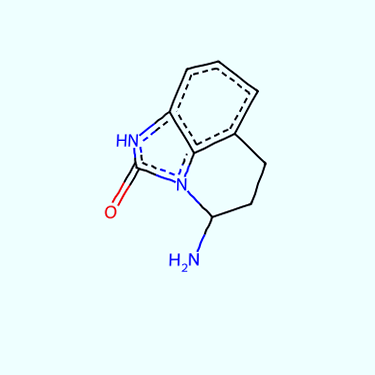 NC1CCc2cccc3[nH]c(=O)n1c23